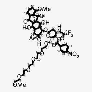 COCCOCCOCCOCCOCCOC[C@@H]1O[C@@H](O[C@H]2C[C@](O)(C(C)=O)Cc3c(O)c4c(c(O)c32)C(=O)c2c(OC)cccc2C4=O)C[C@H](NC(=O)C(F)(F)F)[C@@H]1OC(=O)c1ccc([N+](=O)[O-])cc1